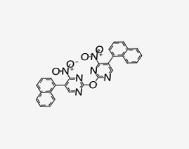 O=[N+]([O-])c1nc(Oc2ncc(-c3cccc4ccccc34)c([N+](=O)[O-])n2)ncc1-c1cccc2ccccc12